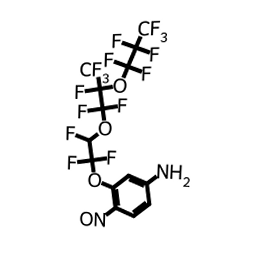 Nc1ccc(N=O)c(OC(F)(F)C(F)OC(F)(F)C(F)(OC(F)(F)C(F)(F)C(F)(F)F)C(F)(F)F)c1